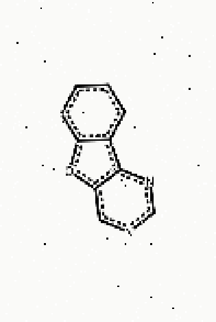 c1ccc2c(c1)oc1cncnc12